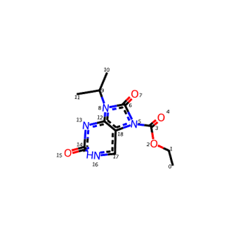 CCOC(=O)n1c(=O)n(C(C)C)c2nc(=O)[nH]cc21